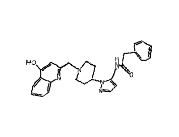 O=C(Cc1ccccc1)Nc1ccnn1C1CCN(Cc2cc(O)c3ccccc3n2)CC1